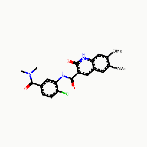 COc1cc2cc(C(=O)Nc3cc(C(=O)N(C)C)ccc3Cl)c(=O)[nH]c2cc1OC